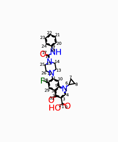 O=C(O)c1cn(C2CC2)c2cc(N3CCN(C(=O)Nc4ccccc4)CC3)c(F)cc2c1=O